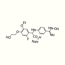 CCOc1cc(C(Nc2ccc(C(=N)NO)cc2)C(=O)O)c(F)cc1OCCO.[NaH]